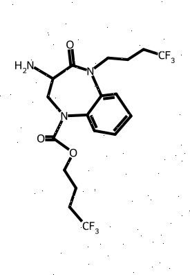 NC1CN(C(=O)OCCCC(F)(F)F)c2ccccc2N(CCCC(F)(F)F)C1=O